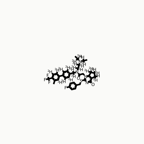 [2H]c1c([2H])c(C([2H])([2H])N(C(=O)Cn2c(SCc3ccc(F)cc3)nc(=O)c3c2C([2H])([2H])C([2H])([2H])C3([2H])[2H])C([2H])([2H])C([2H])([2H])N(C([2H])([2H])C)C([2H])([2H])C)c([2H])c([2H])c1-c1c([2H])c([2H])c(C(F)(F)F)c(C)c1[2H]